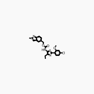 CCc1nc(-c2ccc(Cl)cc2OC)sc1NC(=O)OCc1ccc2nn(C)cc2c1